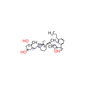 C=C1/C(=C\C=C2/CCC[C@]3(C)[C@@H]([C@H](C)/C=C/[C@@H](O)C4(c5cccc(CCC)c5)CC4)CC[C@@H]23)C[C@@H](O)C[C@@H]1O